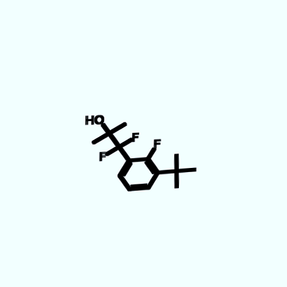 CC(C)(C)c1cccc(C(F)(F)C(C)(C)O)c1F